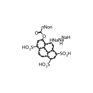 CCCCCCCCCC(=O)Oc1cc(S(=O)(=O)O)c2ccc3c(S(=O)(=O)O)cc(S(=O)(=O)O)c4ccc1c2c43.[NaH].[NaH].[NaH]